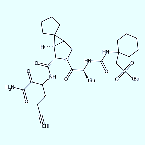 C#CCCC(NC(=O)[C@@H]1[C@@H]2C(CN1C(=O)[C@@H](NC(=O)NC1(CS(=O)(=O)C(C)(C)C)CCCCC1)C(C)(C)C)C21CCCC1)C(=O)C(N)=O